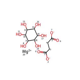 O=C([O-])CCC(=O)[O-].OC1C(O)C(O)C(O)C(O)C1O.[Mg+2]